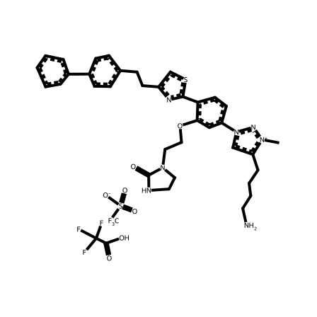 C[n+]1nn(-c2ccc(-c3nc(CCc4ccc(-c5ccccc5)cc4)cs3)c(OCCN3CCNC3=O)c2)cc1CCCCN.O=C(O)C(F)(F)F.O=S(=O)([O-])C(F)(F)F